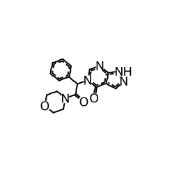 O=C(C(c1ccccc1)n1cnc2[nH]ncc2c1=O)N1CCOCC1